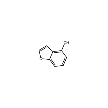 Oc1cccc2oc[c]c12